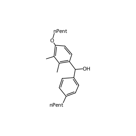 CCCCCOc1ccc(C(O)c2ccc(CCCCC)cc2)c(C)c1C